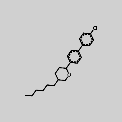 CCCCCCC1CCC(c2ccc(-c3ccc(Cl)cc3)cc2)OC1